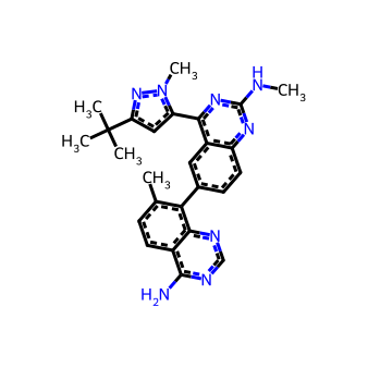 CNc1nc(-c2cc(C(C)(C)C)nn2C)c2cc(-c3c(C)ccc4c(N)ncnc34)ccc2n1